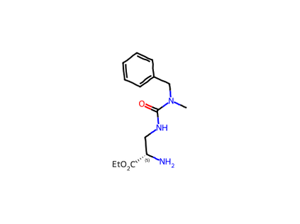 CCOC(=O)[C@@H](N)CNC(=O)N(C)Cc1ccccc1